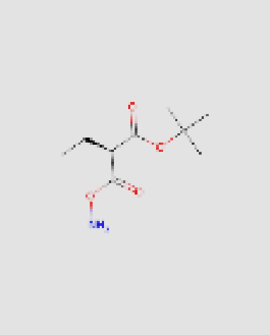 CC[C@H](C(=O)ON)C(=O)OC(C)(C)C